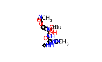 Cc1ncoc1COc1ccc2c(c1)CN(C(=O)OC(C)(C)C)[C@H]([C@H](O)CNC(=O)c1cc(NC3CCC3)nc(N3CCN(C)CC3)c1)C2